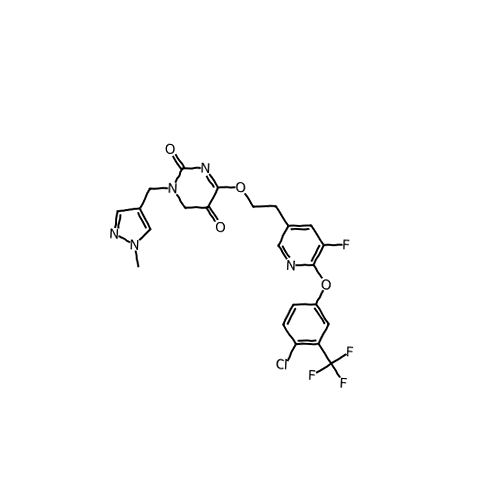 Cn1cc(CN2CC(=O)C(OCCc3cnc(Oc4ccc(Cl)c(C(F)(F)F)c4)c(F)c3)=NC2=O)cn1